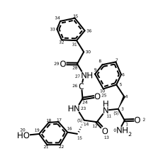 NC(=O)[C@H](Cc1ccccc1)NC(=O)[C@H](Cc1ccc(O)cc1)NC(=O)CNC(=O)Cc1ccccc1